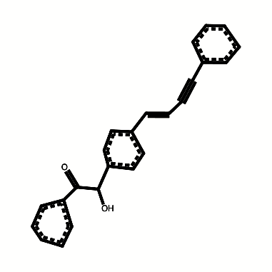 O=C(c1ccccc1)C(O)c1ccc(/C=C/C#Cc2ccccc2)cc1